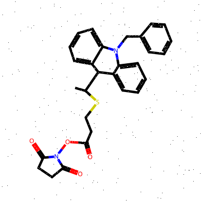 CC(SCCC(=O)ON1C(=O)CCC1=O)C1c2ccccc2N(Cc2ccccc2)c2ccccc21